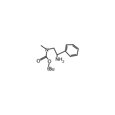 CN(CC(N)c1ccccc1)C(=O)OC(C)(C)C